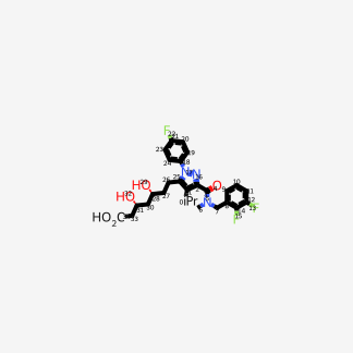 CC(C)c1c(C(=O)N(C)Cc2cccc(F)c2F)nn(-c2ccc(F)cc2)c1CC[C@@H](O)C[C@@H](O)CC(=O)O